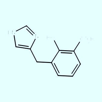 O=C(O)c1cccc(Cc2c[nH]cn2)c1O